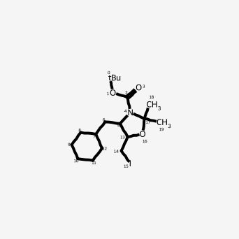 CC(C)(C)OC(=O)N1C(CC2CCCCC2)C(CI)OC1(C)C